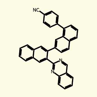 N#Cc1ccc(-c2cccc3ccc(-c4cc5ccccc5cc4-c4ncc5ccccc5n4)cc23)cc1